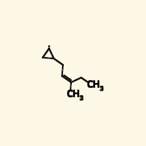 CCC(C)=CCC1[CH]C1